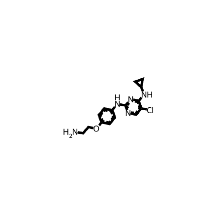 NCCOc1ccc(Nc2ncc(Cl)c(NC3CC3)n2)cc1